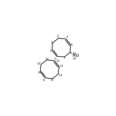 C1=CCCC=CCC1.C1=CCCC=CCC1.[Ru]